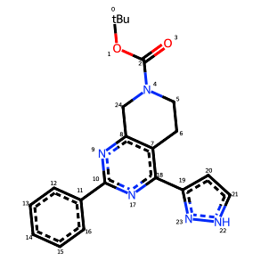 CC(C)(C)OC(=O)N1CCc2c(nc(-c3ccccc3)nc2-c2cc[nH]n2)C1